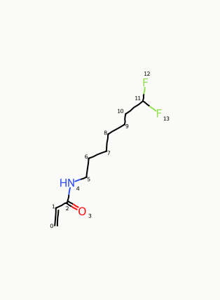 C=CC(=O)NCCCCCCC(F)F